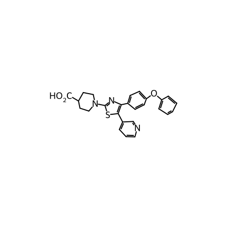 O=C(O)C1CCN(c2nc(-c3ccc(Oc4ccccc4)cc3)c(-c3cccnc3)s2)CC1